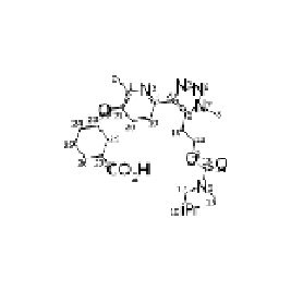 Cc1nc(-c2nnn(C)c2CCOC(=O)N(C)CC(C)C)ccc1O[C@H]1CCC[C@H](C(=O)O)C1